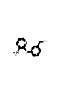 Nc1cccnc1Oc1cccc(CO)c1